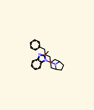 Cc1nc2ccccc2n1C1CC2CCC(C1)N2CCCCc1ccccc1